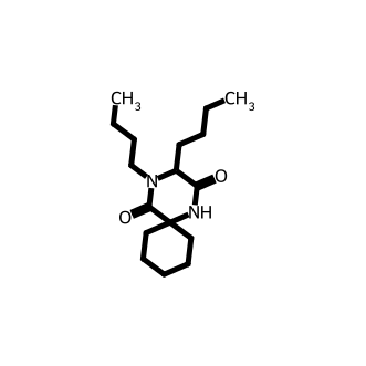 CCCCC1C(=O)NC2(CCCCC2)C(=O)N1CCCC